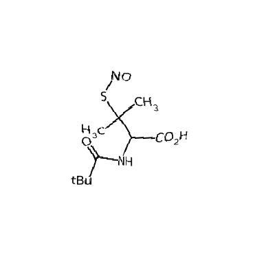 CC(C)(C)C(=O)NC(C(=O)O)C(C)(C)SN=O